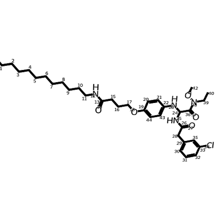 CCCCCCCCCCCCNC(=O)CCCOc1ccc(NC(NC(=O)Cc2cccc(Cl)c2)C(=O)N(CC)OC)cc1